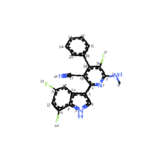 CNc1nc(-c2c[nH]c3c(F)cc(F)cc23)c(C#N)c(-c2ccccc2)c1F